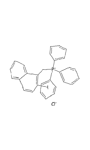 Ic1ccc2ccccc2c1C[P+](c1ccccc1)(c1ccccc1)c1ccccc1.[Cl-]